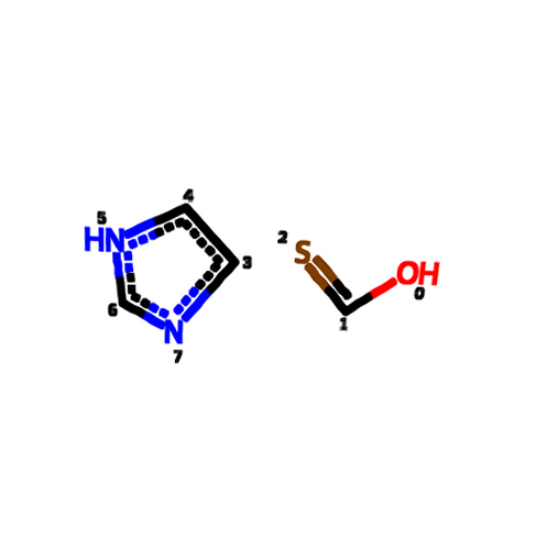 OC=S.c1c[nH]cn1